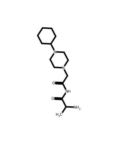 CC(N)C(=O)NC(=O)CN1CCN(C2CCCCC2)CC1